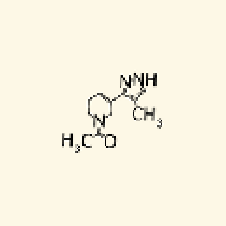 CC(=O)N1CCC=C(c2n[nH]cc2C)C1